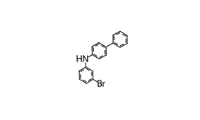 Brc1cccc(Nc2ccc(-c3ccccc3)cc2)c1